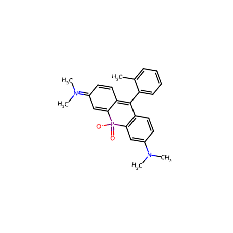 Cc1ccccc1C1=C2C=CC(=[N+](C)C)C=C2P(=O)([O-])c2cc(N(C)C)ccc21